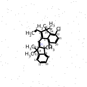 C=CC1=C(/C=C2\C(C)c3ccccc3C2(C)C)c2c(Cl)ccc(Cl)c2C1(C)C